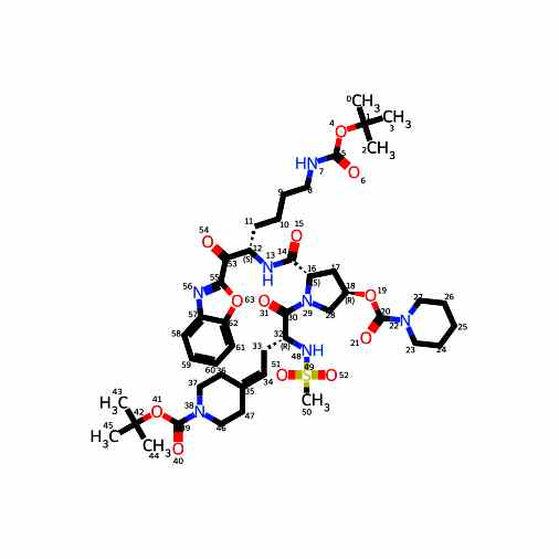 CC(C)(C)OC(=O)NCCCC[C@H](NC(=O)[C@@H]1C[C@@H](OC(=O)N2CCCCC2)CN1C(=O)[C@@H](CC=C1CCN(C(=O)OC(C)(C)C)CC1)NS(C)(=O)=O)C(=O)c1nc2ccccc2o1